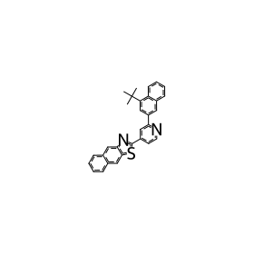 CC(C)(C)c1cc(-c2cc(-c3nc4cc5ccccc5cc4s3)ccn2)cc2ccccc12